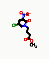 COC(=O)CCCn1cc(Cl)cc([N+](=O)[O-])c1=O